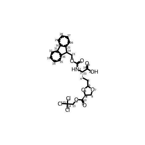 O=C(N[C@@H](CCC1OC[C@@H](C(=O)OCC(Cl)(Cl)Cl)O1)C(=O)O)OCC1c2ccccc2-c2ccccc21